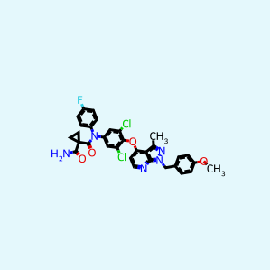 COc1ccc(Cn2nc(C)c3c(Oc4c(Cl)cc(N(C(=O)C5(C(N)=O)CC5)c5ccc(F)cc5)cc4Cl)ccnc32)cc1